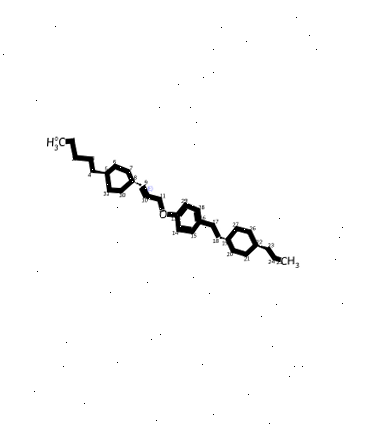 CCCCC[C@H]1CC[C@H](/C=C/COc2ccc(CC[C@H]3CC[C@H](CCC)CC3)cc2)CC1